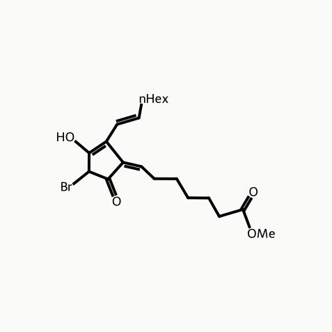 CCCCCCC=CC1=C(O)C(Br)C(=O)C1=CCCCCCC(=O)OC